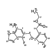 Bc1cc(COc2cc(F)ccc2CC(=O)OCC)c(F)c2ccoc12